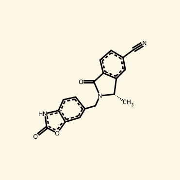 C[C@H]1c2cc(C#N)ccc2C(=O)N1Cc1ccc2[nH]c(=O)oc2c1